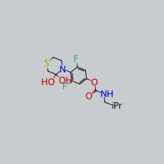 CC(C)CNC(=O)Oc1cc(F)c(N2CCSCC2(O)O)c(F)c1